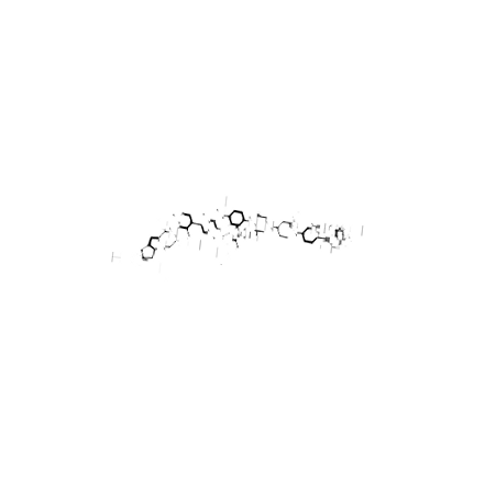 C=CC(=O)Nc1cc(Nc2nc(-c3ccnc(N4CCn5c(cc6c5CC(C)(C)C6)C4=O)c3CO)cnc2OC)ccc1N1CCN(C2CCN(c3ccc(C(C)(C)OP(=O)(O)O)nc3)[C@@H](C)C2)C[C@@H]1C